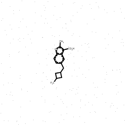 Cc1oc2ccc(CC3CC(C(F)(F)F)C3)cc2c1C(=O)O